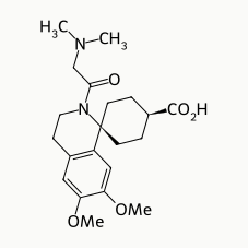 COc1cc2c(cc1OC)[C@]1(CC[C@H](C(=O)O)CC1)N(C(=O)CN(C)C)CC2